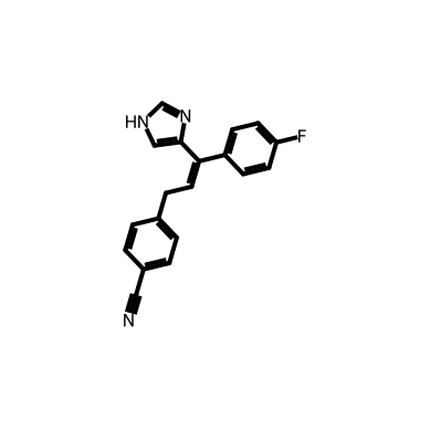 N#Cc1ccc(CC=C(c2ccc(F)cc2)c2c[nH]cn2)cc1